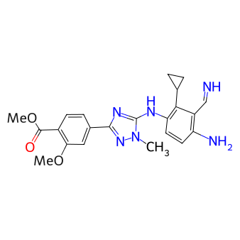 COC(=O)c1ccc(-c2nc(Nc3ccc(N)c(C=N)c3C3CC3)n(C)n2)cc1OC